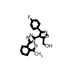 Cc1nn2c(-c3c(-c4ccc(F)cc4)noc3CO)nnc2c2ccccc12